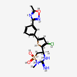 Cc1nc(-c2cccc(-c3cc(Cl)c([C@]4(C)CS(=O)(=O)N(C)C(=N)N4)s3)c2)no1